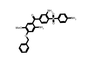 COc1cc(C(=O)c2ccc(S(=O)(=O)c3ccc(N)cc3)c(N)c2)c(N)cc1OCc1ccccc1